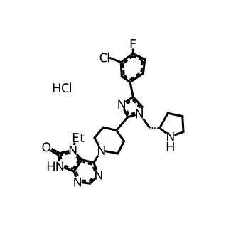 CCn1c(=O)[nH]c2ncnc(N3CCC(c4nc(-c5ccc(F)c(Cl)c5)cn4C[C@@H]4CCCN4)CC3)c21.Cl